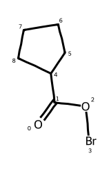 O=C(OBr)C1CCCC1